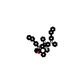 c1ccc(N(c2ccc(-c3ccc4ccccc4c3)cc2)c2ccc3c4c5c(c(N(c6ccccc6)c6ccc(-c7ccc8ccccc8c7)cc6)cc4n(-c4ccccc4)c3c2)-c2ccccc2-c2ccccc2-c2cccnc2-5)cc1